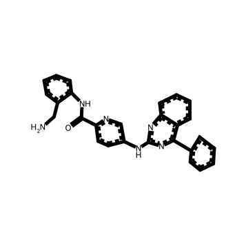 NCc1ccccc1NC(=O)c1ccc(Nc2nc(-c3ccccc3)c3ccccc3n2)cn1